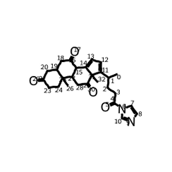 CC(CCC(=O)n1ccnc1)C1=CC=C2C3C(=O)CC4CC(=O)CCC4(C)C3CC(=O)C12C